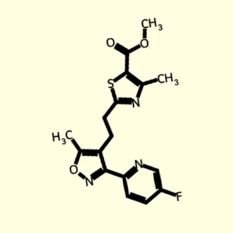 COC(=O)c1sc(CCc2c(-c3ccc(F)cn3)noc2C)nc1C